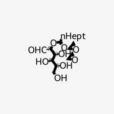 C1CO1.C1CO1.CCCCCCCC(=O)O[C@@H](C=O)[C@@H](O)[C@H](O)[C@H](O)CO